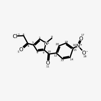 Cn1cc(C(=O)CCl)cc1C(=O)c1ccc([N+](=O)[O-])cc1